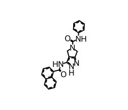 O=C(Nc1[nH]nc2c1CN(C(=O)Nc1ccccc1)C2)c1cccc2ccccc12